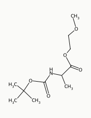 COCCOC(=O)C(C)NC(=O)OC(C)(C)C